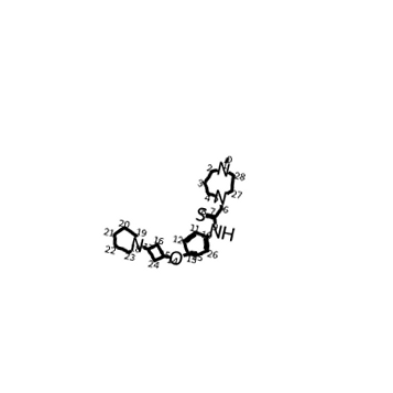 CN1CCCN(CC(=S)Nc2ccc(OC3CC(N4CCCCC4)C3)cc2)CC1